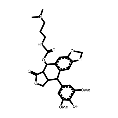 COc1cc(C2c3cc4c(cc3C(OC(=O)NCCCN(C)C)C3C(=O)OCC23)OCO4)cc(OC)c1O